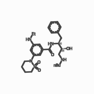 CCCCNC[C@@H](O)[C@H](Cc1ccccc1)NC(=O)c1cc(NCC)cc(N2CCCCS2(=O)=O)c1